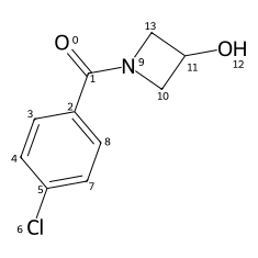 O=C(c1ccc(Cl)cc1)N1CC(O)C1